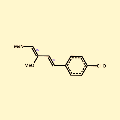 CN/C=C(/C=C/c1ccc(C=O)cc1)OC